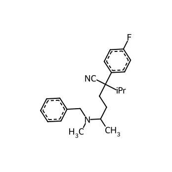 CC(CCC(C#N)(c1ccc(F)cc1)C(C)C)N(C)Cc1ccccc1